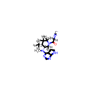 [2H]C([2H])([N+]#[C-])C(=O)N1C([2H])([2H])[C@H](N(C)c2ncnc3[nH]ccc23)[C@H](C([2H])([2H])[2H])C([2H])([2H])C1([2H])[2H]